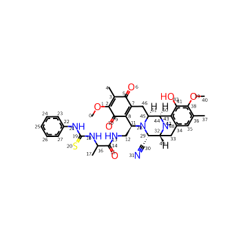 COC1=C(C)C(=O)C2=C(C1=O)[C@H](CNC(=O)C(C)NC(=S)Nc1ccccc1)N1[C@@H](C#N)[C@H]3Cc4cc(C)c(OC)c(O)c4[C@H]([C@@H]1C2)N3C